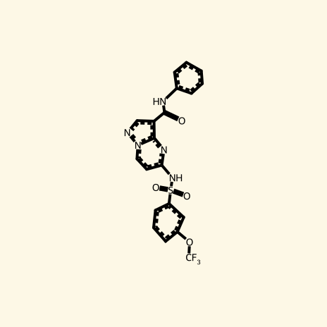 O=C(Nc1ccccc1)c1cnn2ccc(NS(=O)(=O)c3cccc(OC(F)(F)F)c3)nc12